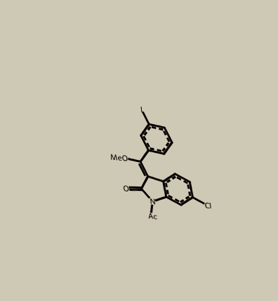 COC(=C1C(=O)N(C(C)=O)c2cc(Cl)ccc21)c1cccc(I)c1